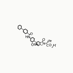 COc1cc(NC(=O)c2ccc(-c3ccccc3)cc2)ccc1-c1ccc2c(c1)C(=O)N([C@H](C(=O)O)C(C)C)C2